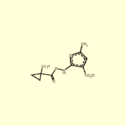 CCOC(=O)c1cc(C)sc1NOC(=O)C1(C(=O)O)CC1